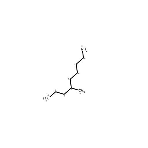 CCCC(C)CC[CH]CN